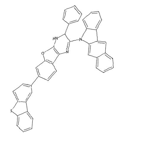 c1ccc(C2Nc3oc4cc(-c5ccc6sc7ccccc7c6c5)ccc4c3N=C2n2c3ccccc3c3cc4ccccc4cc32)cc1